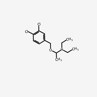 CCN(CC)C(C)OCc1ccc(Cl)c(Cl)c1